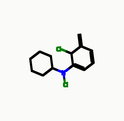 C=C1C=CC=C(N(Cl)C2CCCCC2)C1Cl